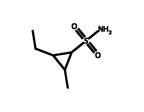 CCC1C(C)C1S(N)(=O)=O